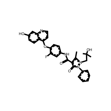 Cc1c(C(=O)Nc2ccc(Oc3ccnc4cc(O)ccc34)c(F)c2)c(=O)n(-c2ccccc2)n1CC(C)(C)O